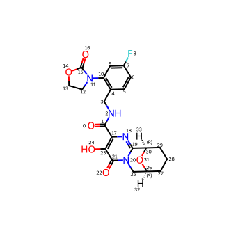 O=C(NCc1ccc(F)cc1N1CCOC1=O)c1nc2n(c(=O)c1O)C[C@@H]1CCC[C@H]2O1